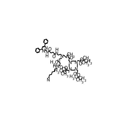 CN(CCN(CCNC(=O)CCC(=O)Nc1nc(-c2ccccc2)cc(-c2ccccc2)n1)CCN(C)C(=O)CN1CCN(CC(=O)OC(C)(C)C)CCN(CC(=O)OC(C)(C)C)CCN(CC(=O)OC(C)(C)C)CC1)CC(=O)NCCCCCCC#N